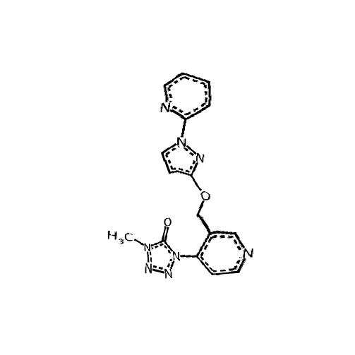 Cn1nnn(-c2ccncc2COc2ccn(-c3ccccn3)n2)c1=O